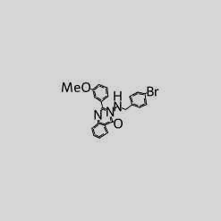 COc1cccc(-c2nc3ccccc3c(=O)n2NCc2ccc(Br)cc2)c1